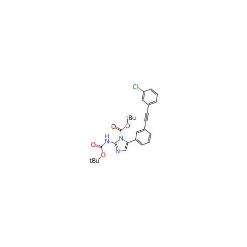 CC(C)(C)OC(=O)Nc1ncc(-c2cccc(C#Cc3cccc(Cl)c3)c2)n1C(=O)OC(C)(C)C